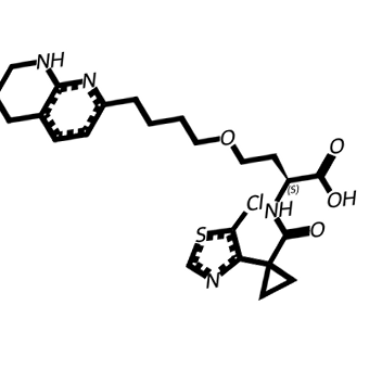 O=C(O)[C@H](CCOCCCCc1ccc2c(n1)NCCC2)NC(=O)C1(c2ncsc2Cl)CC1